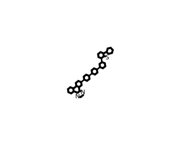 c1cc(-c2ccc(-c3ccc(-c4ccc5c6ccccc6c6nccnc6c5c4)cc3)cc2)cc(-c2cccc3c2sc2ccccc23)c1